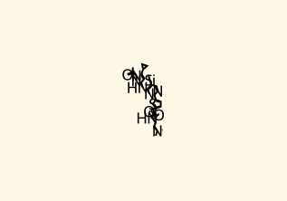 CC(=O)n1nc(Nc2nc(-c3ccc(S(=O)(=O)NCCN(C)C)s3)ncc2[Si](C)(C)C)cc1C1CC1